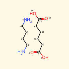 NCCCCN.O=C(O)CCCCC(=O)O